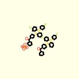 O=C(c1ccccc1)c1ccc(Sc2ccccc2[S+](c2ccc(F)cc2)c2ccc(F)cc2)cc1.O=C(c1ccccc1)c1ccc(Sc2ccccc2[S+](c2ccc(F)cc2)c2ccc(F)cc2)cc1.O=S(=O)([O-])[O-]